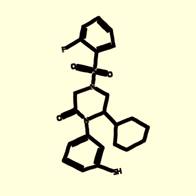 O=C1CN(S(=O)(=O)c2ccccc2F)CC(C2CCCCC2)N1c1cccc(S)c1